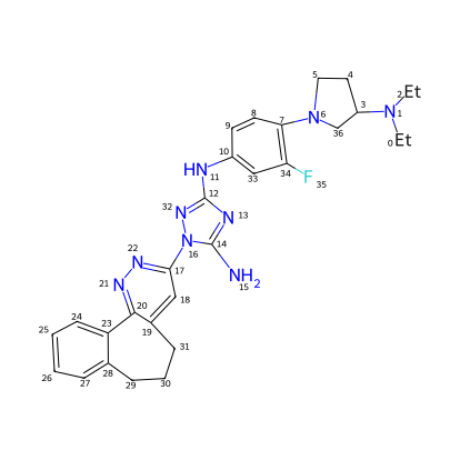 CCN(CC)C1CCN(c2ccc(Nc3nc(N)n(-c4cc5c(nn4)-c4ccccc4CCC5)n3)cc2F)C1